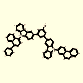 Brc1cc(-c2ccc3c(c2)c2ccccc2n3-c2ccc3c(ccc4ccccc43)c2)cc(-c2ccc3c(c2)c2ccccc2n3-c2ccc(-c3ccccc3)c3ccccc23)c1